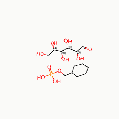 O=C[C@@H](O)[C@@H](O)[C@H](O)[C@H](O)CO.O=P(O)(O)OCC1CCCCC1